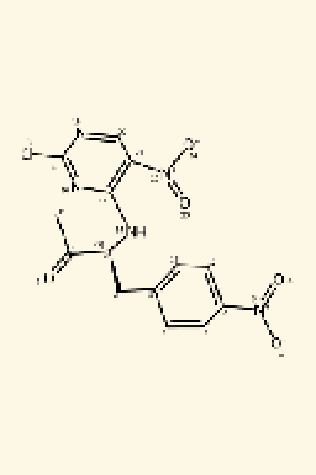 CC(=O)[C@H](Cc1ccc([N+](=O)[O-])cc1)Nc1nc(Cl)ncc1[N+](=O)[O-]